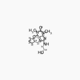 Cn1c(=O)c2c(nc(NCCO)n2Cc2ccsc2)n(C)c1=O